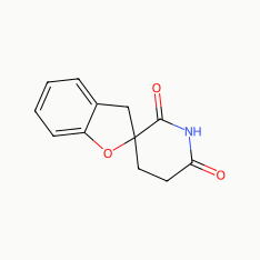 O=C1CCC2(Cc3ccccc3O2)C(=O)N1